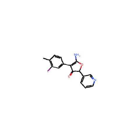 Cc1ccc(C2=C(N)OC(c3cccnc3)C2=O)cc1I